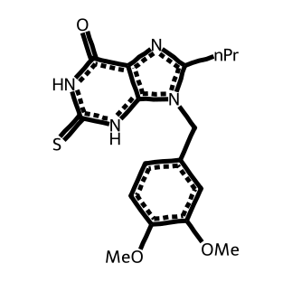 CCCc1nc2c(=O)[nH]c(=S)[nH]c2n1Cc1ccc(OC)c(OC)c1